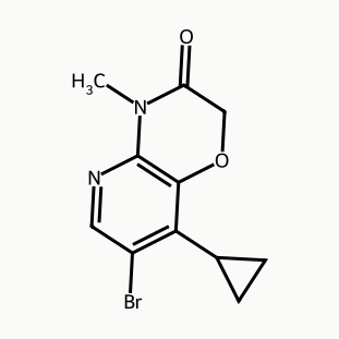 CN1C(=O)COc2c1ncc(Br)c2C1CC1